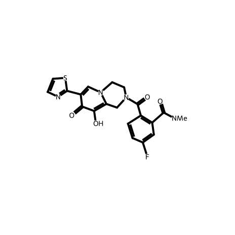 CNC(=O)c1cc(F)ccc1C(=O)N1CCn2cc(-c3nccs3)c(=O)c(O)c2C1